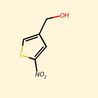 O=[N+]([O-])c1cc(CO)cs1